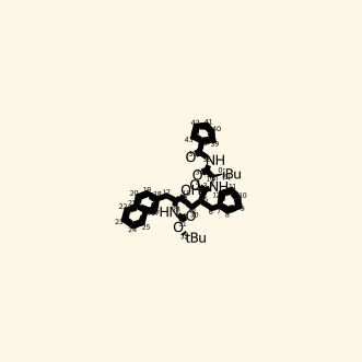 CC[C@H](C)[C@H](NC(=O)C(Cc1ccccc1)CC(O)C(Cc1ccc2ccccc2c1)NC(=O)OC(C)(C)C)C(=O)NC(=O)c1ccccc1